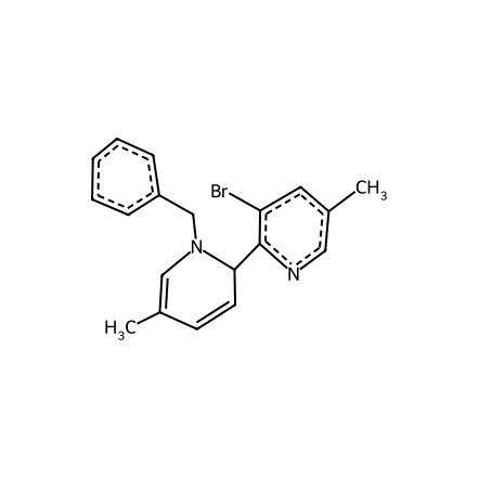 CC1=CN(Cc2ccccc2)C(c2ncc(C)cc2Br)C=C1